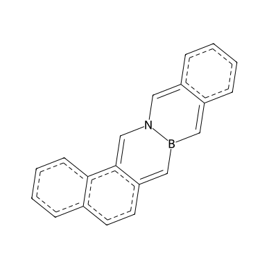 C1=c2ccccc2=CN2C=c3c(ccc4ccccc34)=CB12